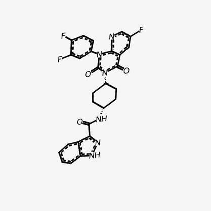 O=C(N[C@H]1CC[C@@H](n2c(=O)c3cc(F)cnc3n(-c3ccc(F)c(F)c3)c2=O)CC1)c1n[nH]c2ccccc12